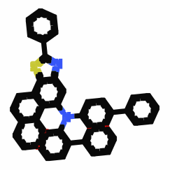 c1ccc(-c2ccc(N(c3ccccc3-c3ccccc3)c3cc4nc(-c5ccccc5)sc4c4ccc5ccccc5c34)cc2)cc1